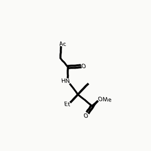 CCC(C)(NC(=O)CC(C)=O)C(=O)OC